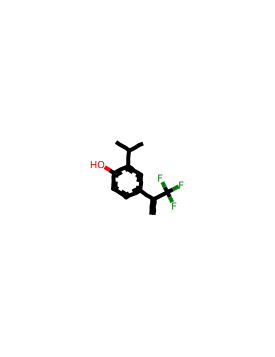 C=C(c1ccc(O)c(C(C)C)c1)C(F)(F)F